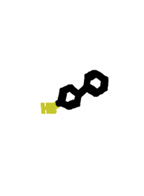 SC1=CCC(c2ccccc2)C=C1